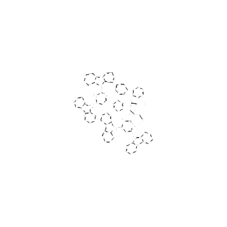 C=C(/C=C(\C=C/C)c1nc(-n2c3ccccc3c3ccccc32)cc(-n2c3ccccc3c3ccccc32)n1)[Si](c1ccccc1)(c1ccccc1)c1cccc(-c2cc(-n3c4ccccc4c4ccccc43)nc(-n3c4ccccc4c4ccccc43)n2)c1